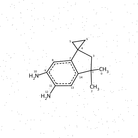 CC1(C)CC2(CC2)c2cc(N)c(N)cc21